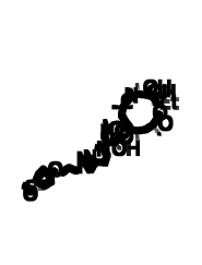 CC[C@H]1OC(=O)[C@H](C)C[C@H](C)[C@@H](O[C@@H]2O[C@H](C)C[C@H](N(C)CCc3cn(CCCOc4ccc([S+](C)[O-])cc4)nn3)[C@H]2O)[C@](C)(O)C[C@@H](C)CN(C)[C@H](C)[C@@H](O)[C@]1(C)O